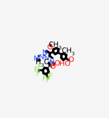 COc1ccc(-c2ccc(C(=O)O)cc2C)cc1-c1cnc(-n2ccnc2)nc1CN1C(=O)O[C@H](c2cc(C(F)(F)F)cc(C(F)(F)F)c2)[C@@H]1C